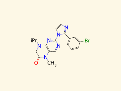 CC(C)N1CC(=O)N(C)c2cnc(-n3ccnc3-c3cccc(Br)c3)nc21